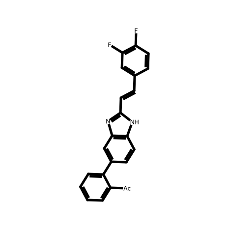 CC(=O)c1ccccc1-c1ccc2[nH]c(C=Cc3ccc(F)c(F)c3)nc2c1